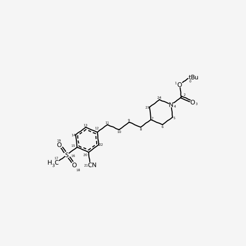 CC(C)(C)OC(=O)N1CCC(CCCCc2ccc(S(C)(=O)=O)c(C#N)c2)CC1